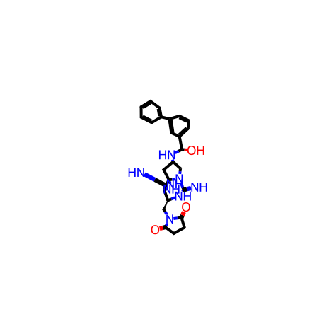 N=C1NC2[C@H](CN3C(=O)CCC3=O)NC(=N)N3CC(NC(O)c4cccc(-c5ccccc5)c4)CC23N1